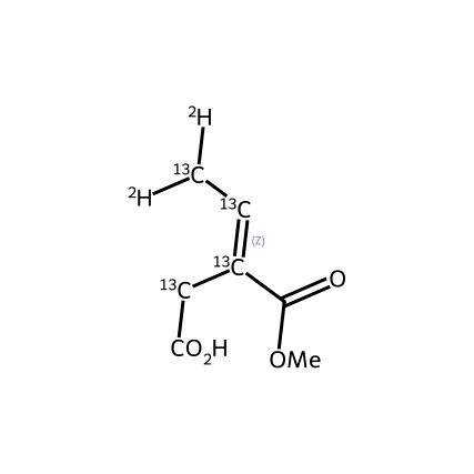 [2H][13CH]([2H])/[13CH]=[13C](\[13CH2][13C](=O)O)C(=O)OC